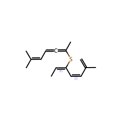 C=C(C)/C=C\C(=C/C)SC(C)=C=CC=C(C)C